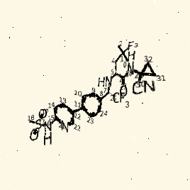 CC(C)(F)C[C@H](N[C@@H](c1ccc(-c2ccc(NS(C)(=O)=O)nc2)cc1)C(F)(F)F)C(=O)NC1(C#N)CC1